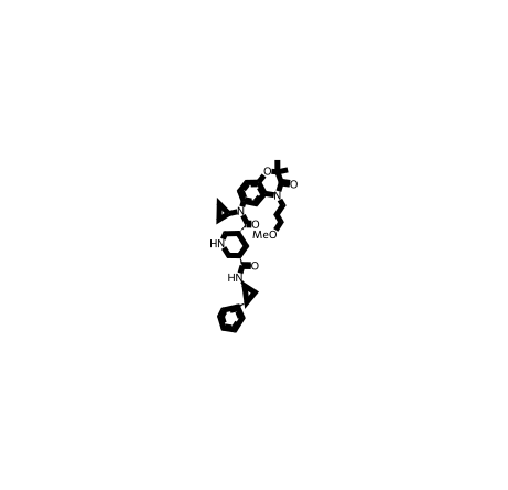 COCCCN1C(=O)C(C)(C)Oc2ccc(N(C(=O)[C@H]3CNC[C@@H](C(=O)N[C@H]4C[C@@H]4c4ccccc4)C3)C3CC3)cc21